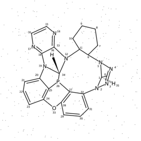 C[C@H]1N2N=NN1C1CCCCC1N1c3nccnc3N3c4cccc5c4P(c4c(cccc42)O5)[C@H]31